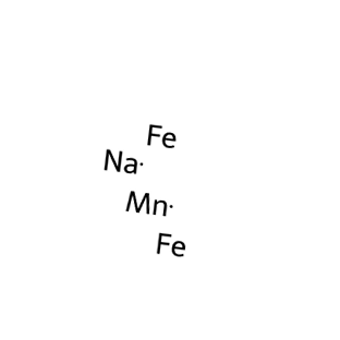 [Fe].[Fe].[Mn].[Na]